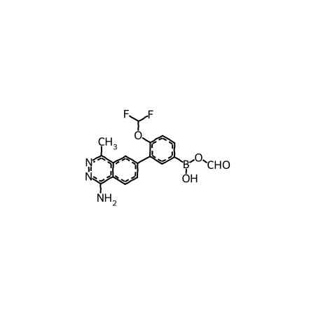 Cc1nnc(N)c2ccc(-c3cc(B(O)OC=O)ccc3OC(F)F)cc12